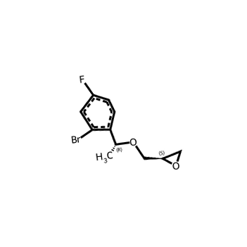 C[C@@H](OC[C@H]1CO1)c1ccc(F)cc1Br